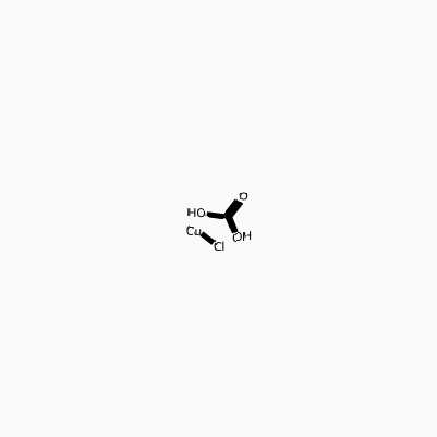 O=C(O)O.[Cl][Cu]